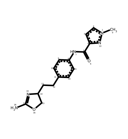 Cn1ccc(C(=O)Nc2ccc(CCC3COC(N)=N3)cc2)n1